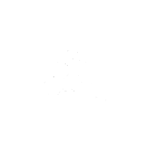 CCOc1cc(N(C(C)=O)C(C)=O)c2ccccc2n1